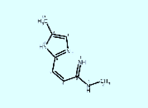 CNC(=N)/C=C\c1ncc(C)[nH]1